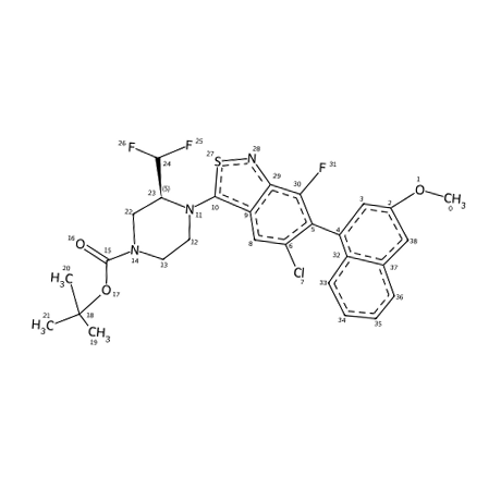 COc1cc(-c2c(Cl)cc3c(N4CCN(C(=O)OC(C)(C)C)C[C@H]4C(F)F)snc3c2F)c2ccccc2c1